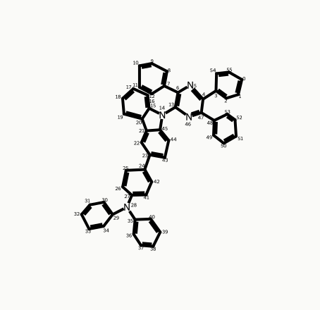 c1ccc(-c2nc(-c3ccccc3)c(-n3c4ccccc4c4cc(-c5ccc(N(c6ccccc6)c6ccccc6)cc5)ccc43)nc2-c2ccccc2)cc1